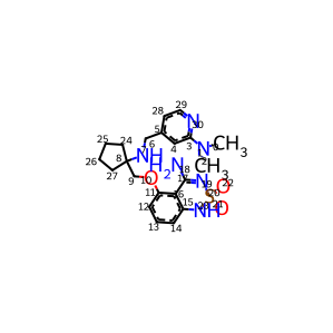 CN(C)c1cc(CNC2(COc3cccc4c3C(N)=NS(=O)(=O)N4)CCCC2)ccn1